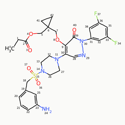 CCC(=O)OCC1(COc2c(N3CCN(S(=O)(=O)Cc4cccc(N)c4)CC3)cnn(-c3cc(F)cc(F)c3)c2=O)CC1